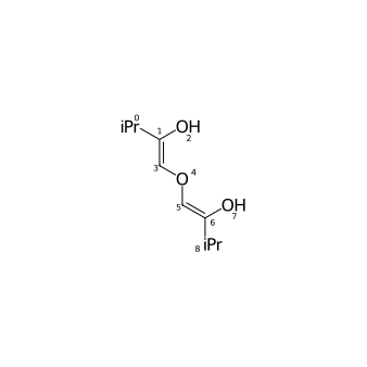 CC(C)C(O)=COC=C(O)C(C)C